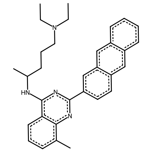 CCN(CC)CCCC(C)Nc1nc(-c2ccc3cc4ccccc4cc3c2)nc2c(C)cccc12